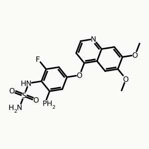 COc1cc2nccc(Oc3cc(F)c(NS(N)(=O)=O)c(P)c3)c2cc1OC